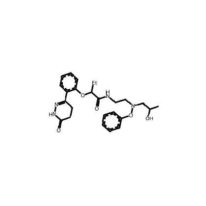 CCC(Oc1ccccc1C1=NNC(=O)CC1)C(=O)NCCN(CC(C)O)Oc1ccccc1